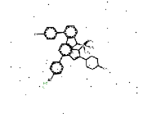 CCC1=Cc2c(-c3ccc(C(C)C)cc3)cccc2[CH]1[Zr]([CH3])([CH3])(=[SiH2])[CH]1C(C2CCC(C)CC2)=Cc2c(-c3ccc(C(C)(C)C)cc3)cccc21.Cl.Cl